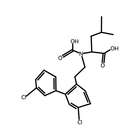 CC(C)CC(C(=O)O)N(CCc1ccc(Cl)cc1-c1cccc(Cl)c1)C(=O)O